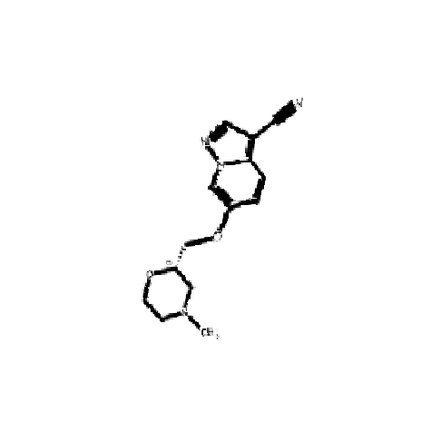 CN1CCO[C@H](COc2ccc3c(C#N)cnn3c2)C1